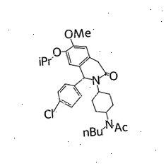 CCCCN(C(C)=O)C1CCC(N2C(=O)Cc3cc(OC)c(OC(C)C)cc3C2c2ccc(Cl)cc2)CC1